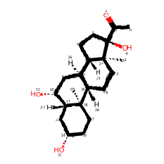 CC(=O)[C@@]1(O)CC[C@H]2[C@@H]3C[C@@H](O)[C@H]4C[C@@H](O)CC[C@]4(C)[C@H]3CC[C@@]21C